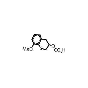 COc1cccc2c1SCC(OC(=O)O)C2